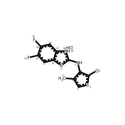 Cc1csc(Cl)c1Nc1nc2cc(F)c(F)cc2[nH]1.Cl